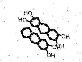 Oc1cc2cc3cc(O)c(O)cc3cc2cc1O.Oc1cc2cc3ccccc3cc2cc1O